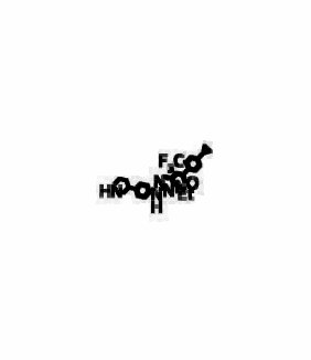 CCn1c(=O)c(-c2ccc(C3CC3)cc2C(F)(F)F)cc2cnc(Nc3ccc(C4CCCNC4)cc3)nc21